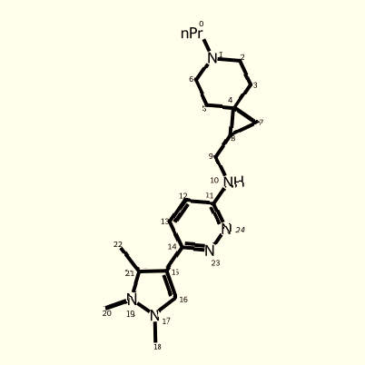 CCCN1CCC2(CC1)CC2CNc1ccc(C2=CN(C)N(C)C2C)nn1